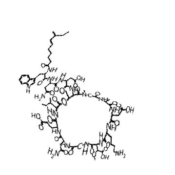 CCC(C)CCCCCCC(=O)NC(Cc1c[nH]c2ccccc12)C(=O)NC(CC(N)=O)C(=O)NC(CC(=O)O)C(=O)NC1C(=O)N(C)CC(=O)NC(C)C(=O)NC(CC(=O)O)C(=O)NC(CCCCN)C(=O)NC(C(OC)C(=O)O)C(=O)NCC(=O)NC(CC(N)=O)C(=O)NC(CCC(=O)O)C(=O)NC(C(C)CC)C(=O)OC1C